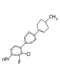 CCCc1ccc(-c2ccc(C3=CCC(C)CC3)cc2)c(Cl)c1F